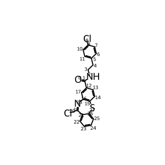 O=C(NCCc1ccc(Cl)cc1)c1ccc2c(c1)N=C(Cl)c1ccccc1S2